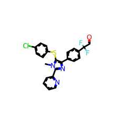 Cn1c(-c2ccccn2)nc(-c2ccc(C(F)(F)C=O)cc2)c1Sc1ccc(Cl)cc1